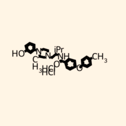 Cc1ccc(Oc2ccc(C(=O)N[C@H](CN3CCN(c4cccc(O)c4)[C@@H](C)C3)C(C)C)cc2)cc1.Cl.Cl